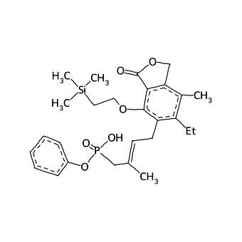 CCc1c(C)c2c(c(OCC[Si](C)(C)C)c1C/C=C(\C)CP(=O)(O)Oc1ccccc1)C(=O)OC2